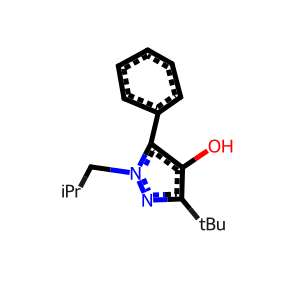 CC(C)Cn1nc(C(C)(C)C)c(O)c1-c1ccccc1